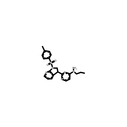 CCCN(N)c1ccnc(C2CN(S(=O)(=O)c3ccc(C)cc3)c3ncccc32)n1